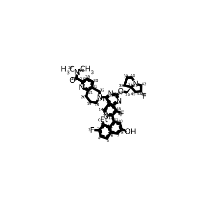 CCc1c(F)ccc2cc(O)cc(-c3ncc4c(N5CCCc6nc(C(=O)N(C)C)ccc6C5)nc(OC[C@@]56CCCN5C[C@H](F)C6)nc4c3F)c12